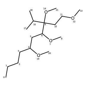 CCCCC(CC(OC)C(CCOC)(OC)C(C)C)OC